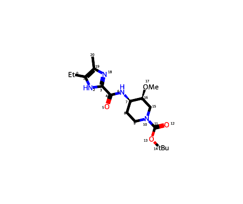 CCc1[nH]c(C(=O)N[C@@H]2CCN(C(=O)OC(C)(C)C)C[C@@H]2OC)nc1C